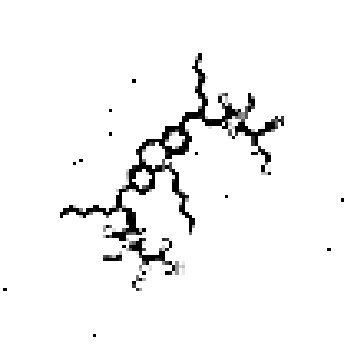 [C-]#[N+]/C(C(=O)O)=c1/s/c(=C/C(=C\c2ccc3c(c2)CCc2cc(/C=C(\C=c4\s/c(=C(/C#N)OC=O)n(CC)c4=O)CCCCC)ccc2N3CCCCCC)CCCCC)c(=O)n1CC